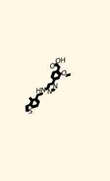 CCOc1cc(-c2cc(NCCc3ccc4sccc4c3C)ncn2)ccc1CC(=O)O